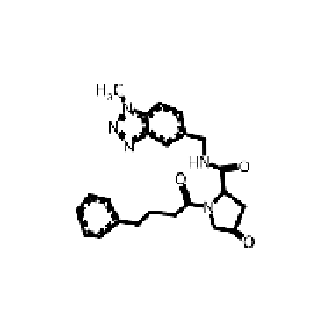 Cn1nnc2cc(CNC(=O)C3CC(=O)CN3C(=O)CCCc3ccccc3)ccc21